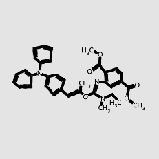 CCN(C)/C(=N\c1cc(C(=O)OC)ccc1C(=O)OC)O/C(C)=C/c1ccc(N(c2ccccc2)c2ccccc2)cc1